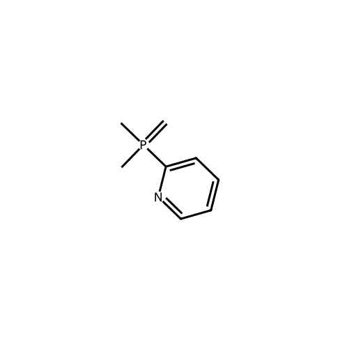 C=P(C)(C)c1ccccn1